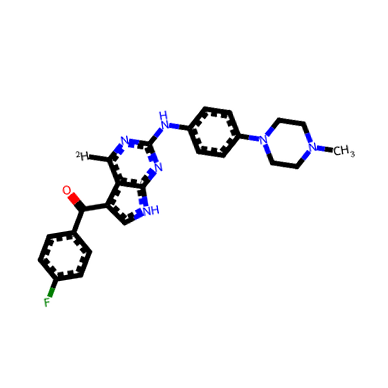 [2H]c1nc(Nc2ccc(N3CCN(C)CC3)cc2)nc2[nH]cc(C(=O)c3ccc(F)cc3)c12